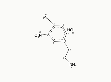 CC(C)c1ccc(CCN)cc1[N+](=O)[O-].Cl